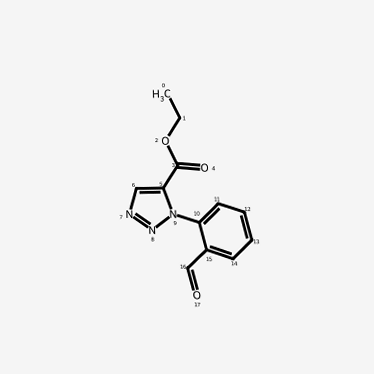 CCOC(=O)c1cnnn1-c1ccccc1C=O